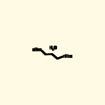 O.[CH2]CCCCCCCCCCCCCC